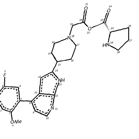 COc1ccc(F)cc1-c1ccnc2[nH]c(C3CCN(CC(=O)OC(=O)[C@@H]4CCCN4)CC3)cc12